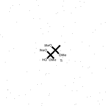 COC(C)(OC)C(O)(OC)OC.[Ti]